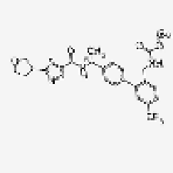 C[C@@H](NC(=O)c1cnc(C2CCOC2)s1)c1ccc(-c2cc(C(F)(F)F)ccc2CNC(=O)OC(C)(C)C)cc1